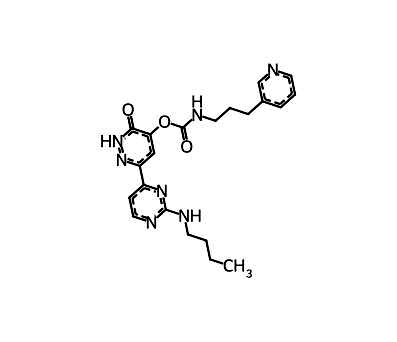 CCCCNc1nccc(-c2cc(OC(=O)NCCCc3cccnc3)c(=O)[nH]n2)n1